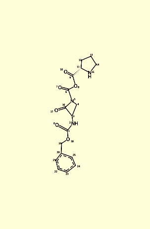 O=C(NC1CN(C(=O)OC(=O)[C@@H]2CCCN2)C1=O)OCc1ccccc1